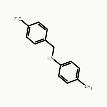 Cc1ccc(NCc2ccc(C(F)(F)F)cc2)cc1